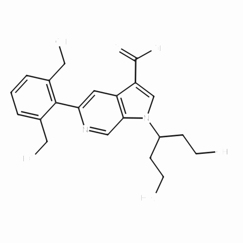 CCCC(CCC)n1cc(C(=O)O)c2cc(-c3c(CC)cccc3CC)ncc21